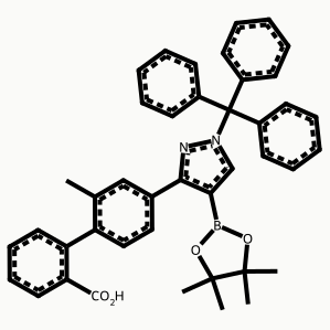 Cc1cc(-c2nn(C(c3ccccc3)(c3ccccc3)c3ccccc3)cc2B2OC(C)(C)C(C)(C)O2)ccc1-c1ccccc1C(=O)O